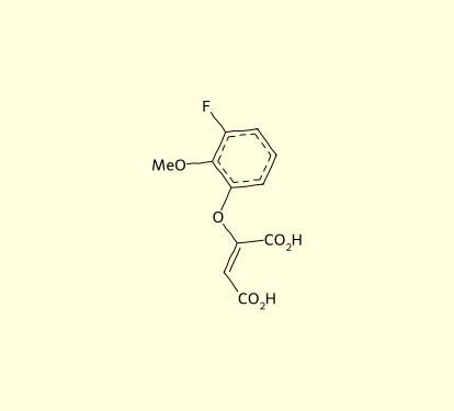 COc1c(F)cccc1O/C(=C/C(=O)O)C(=O)O